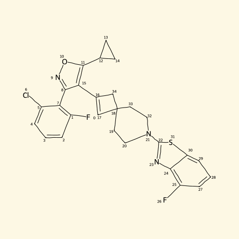 Fc1cccc(Cl)c1-c1noc(C2CC2)c1C1=CC2(CCN(c3nc4c(F)cccc4s3)CC2)C1